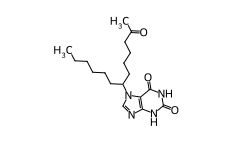 CCCCCCC(CCCCC(C)=O)n1cnc2[nH]c(=O)[nH]c(=O)c21